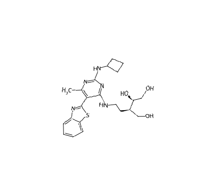 Cc1nc(NC2CCC2)nc(NCC[C@H](CO)[C@@H](O)CO)c1-c1nc2ccccc2s1